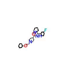 O=C(NC(c1cccc(F)c1)c1ccccn1)C1CCN(CCOc2ccccc2)CC1